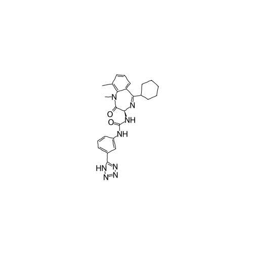 Cc1cccc2c1N(C)C(=O)[C@H](NC(=O)Nc1cccc(-c3nnn[nH]3)c1)N=C2C1CCCCC1